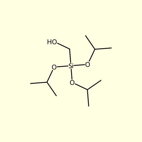 CC(C)O[Si](CO)(OC(C)C)OC(C)C